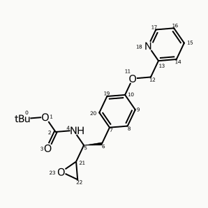 CC(C)(C)OC(=O)N[C@@H](Cc1ccc(OCc2ccccn2)cc1)C1CO1